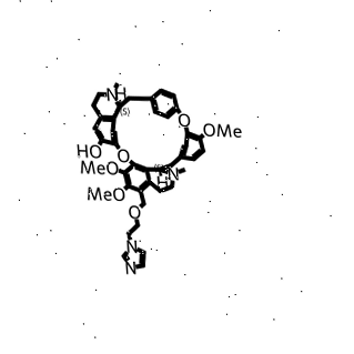 COc1ccc2cc1Oc1ccc(cc1)C[C@H]1c3cc(c(O)cc3CCN1C)Oc1c(OC)c(OC)c(COCCn3ccnc3)c3c1[C@H](C2)N(C)CC3